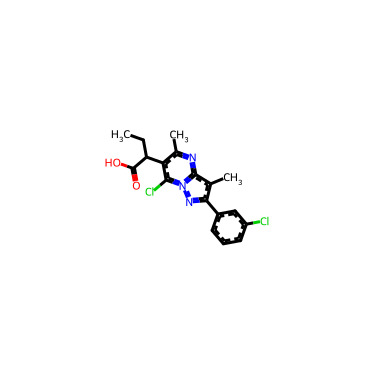 CCC(C(=O)O)c1c(C)nc2c(C)c(-c3cccc(Cl)c3)nn2c1Cl